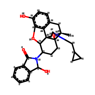 O=C1c2ccccc2C(O)N1C1CC[C@@]2(O)[C@H]3Cc4ccc(O)c5c4[C@@]2(CCN3CC2CC2)C1O5